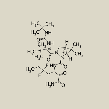 CCC(F)(F)CC(NC(=O)[C@@H]1[C@@H]2[C@H](CN1C(=O)[C@@H](NC(=O)NC(C)(C)C)C(C)(C)C)C2(C)C)C(=O)C(N)=O